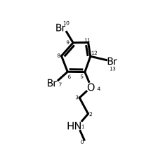 CNCCOc1c(Br)cc(Br)cc1Br